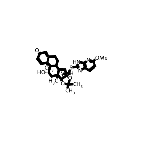 COc1ccc2nc(SCC(=O)[C@@]34OC(C)(C)O[C@H]3CC3C5CCC6=CC(=O)C=CC6(C)C5[C@@H](O)CC34C)[nH]c2n1